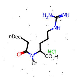 CCCCCCCCCCCC(=O)N(CC)C(CCCNC(=N)N)C(=O)O.Cl